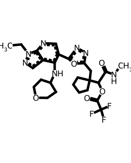 CCn1ncc2c(NC3CCOCC3)c(-c3nnc(CC4(C(OC(=O)C(F)(F)F)C(=O)NC)CCCC4)o3)cnc21